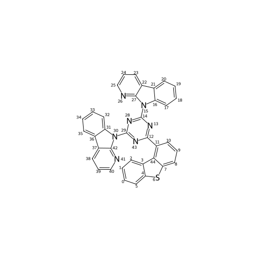 c1ccc2c(c1)sc1cccc(-c3nc(-n4c5ccccc5c5cccnc54)nc(-n4c5ccccc5c5cccnc54)n3)c12